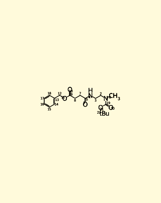 CN(CCNC(=O)CCC(=O)OCc1ccccc1)C(=O)OC(C)(C)C